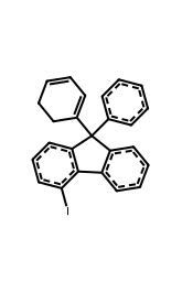 Ic1cccc2c1-c1ccccc1C2(C1=CC=CCC1)c1ccccc1